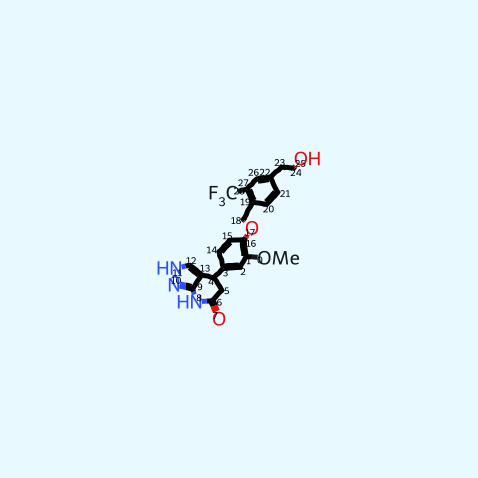 COc1cc(C2CC(=O)Nc3n[nH]cc32)ccc1OCc1ccc(CCO)cc1C(F)(F)F